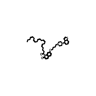 CCC/C=C\C/C=C\C/C=C\C/C=C\C/C=C\CCCC(=O)n1c(=O)ccc2ccc(OCCCCN3CCN(C4=CC=CC5SC=CC45)CC3)cc21